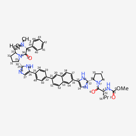 COC(=O)N[C@H](C(=O)N1CCC[C@H]1c1ncc(-c2ccc3cc(-c4ccc(-c5cnc([C@@H]6CCC(C#N)N6C(=O)[C@@H](c6ccccc6)N(C)C)[nH]5)cc4)ccc3c2)[nH]1)C(C)C